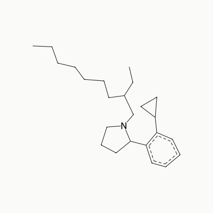 CCCCCCCC(CC)CN1CCCC1c1ccccc1C1CC1